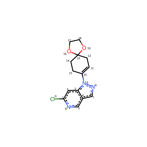 Clc1cc2c(cn1)cnn2C1=CCC2(CC1)OCCO2